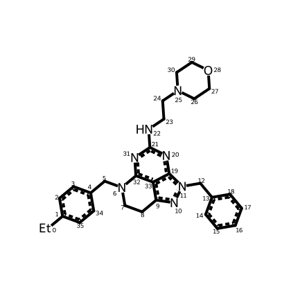 CCc1ccc(CN2CCc3nn(Cc4ccccc4)c4nc(NCCN5CCOCC5)nc2c34)cc1